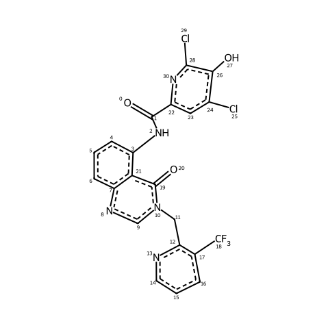 O=C(Nc1cccc2ncn(Cc3ncccc3C(F)(F)F)c(=O)c12)c1cc(Cl)c(O)c(Cl)n1